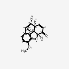 COc1ccc2c3c1O[C@H]1C(=O)C=C[C@H]4[C@H](CCC[C@]314)C2